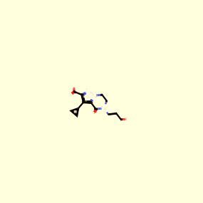 O=C(O)c1nn2c(c1C1CC1)C(=O)N(CCCO)CC2